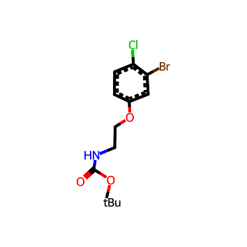 CC(C)(C)OC(=O)NCCOc1ccc(Cl)c(Br)c1